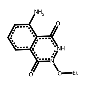 CCOn1[nH]c(=O)c2c(N)cccc2c1=O